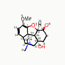 COC1=C2O[C@H]3C(=O)CC[C@@]4(O)C5CC(C=C1)C2[C@@]34CCN5C